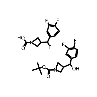 CC(C)(C)OC(=O)N1CC(C(O)c2ccc(F)c(F)c2)C1.O=C(O)N1CC(C(F)c2ccc(F)c(F)c2)C1